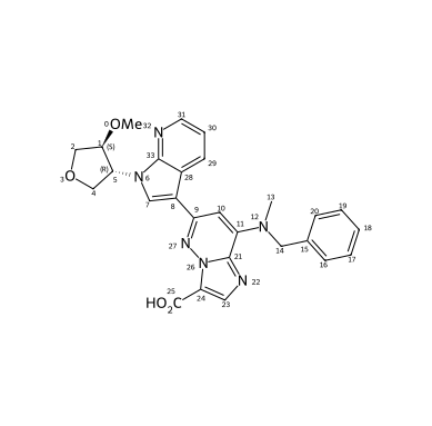 CO[C@@H]1COC[C@H]1n1cc(-c2cc(N(C)Cc3ccccc3)c3ncc(C(=O)O)n3n2)c2cccnc21